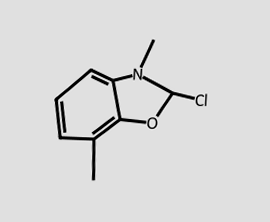 Cc1cccc2c1OC(Cl)N2C